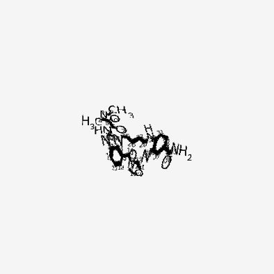 Cc1nc(C)c(C(=O)Nc2nc3cccc(CN4CCOCC4)c3n2C/C=C/CNc2ccc(C(N)=O)cc2[N+](=O)[O-])o1